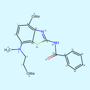 COCCN(C)c1ccc(OC)c2nc(NC(=O)c3ccccc3)sc12